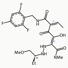 C/C=C(/C(=O)NCc1c(F)cc(F)cc1F)C(=O)/C(O)=C(\NN[C@@H](CC)COC)C(=O)NC